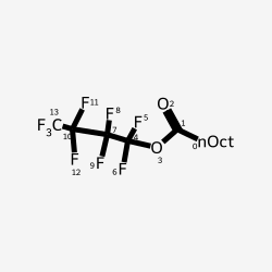 CCCCCCCCC(=O)OC(F)(F)C(F)(F)C(F)(F)C(F)(F)F